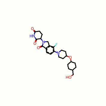 O=C1CCC(N2Cc3c(ccc(N4CCC(OC5CCC(CO)CC5)CC4)c3F)C2=O)C(=O)N1